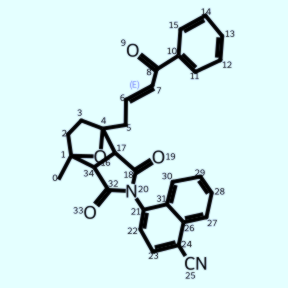 CC12CCC(C/C=C/C(=O)c3ccccc3)(O1)C1C(=O)N(c3ccc(C#N)c4ccccc34)C(=O)C12